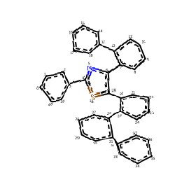 c1ccc(-c2nc(-c3ccccc3-c3ccccc3)c(-c3ccccc3-c3ccccc3-c3ccccc3)s2)cc1